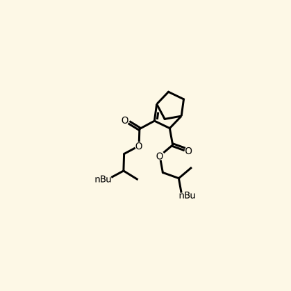 CCCCC(C)COC(=O)C1=C2CCC(C2)C1C(=O)OCC(C)CCCC